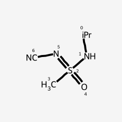 CC(C)NS(C)(=O)=NC#N